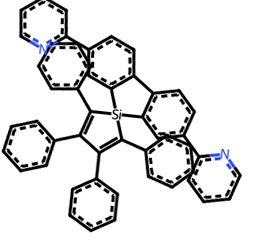 c1ccc(C2=C(c3ccccc3)[Si]3(C(c4ccccc4)=C2c2ccccc2)c2cc(-c4ccccn4)ccc2-c2ccc(-c4ccccn4)cc23)cc1